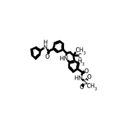 CC1(C)CC(c2cccc(C(=O)Nc3ccccc3)c2)Nc2ccc(C(=O)NS(C)(=O)=O)cc21